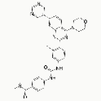 CN(C)C(=O)c1ccc(NC(=O)Nc2ccc(-c3nc(N4CCOCC4)c4ccc(-c5cncnc5)cc4n3)c(F)c2)cc1